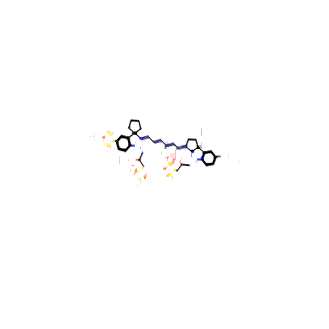 CC(/C=C/C=C1\N(CC(O)CS(=O)(=O)O)c2ccc(S(=O)(=O)O)cc2C12CCCC2)=C\C=C1/CCC2(C)C1=[N+](CC(O)CS(=O)(=O)O)c1ccc(C)cc12